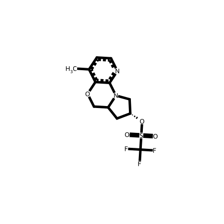 Cc1ccnc2c1OCC1C[C@@H](OS(=O)(=O)C(F)(F)F)CN21